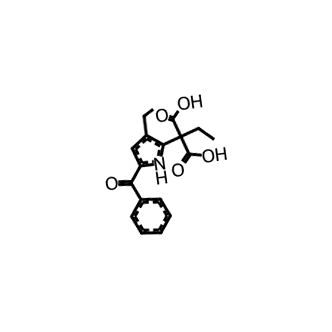 CCc1cc(C(=O)c2ccccc2)[nH]c1C(CC)(C(=O)O)C(=O)O